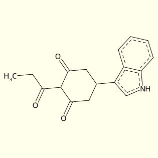 CCC(=O)C1C(=O)CC(c2c[nH]c3ccccc23)CC1=O